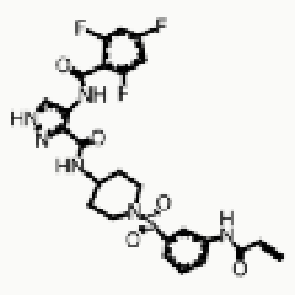 C=CC(=O)Nc1cccc(S(=O)(=O)N2CCC(NC(=O)c3n[nH]cc3NC(=O)c3c(F)cc(F)cc3F)CC2)c1